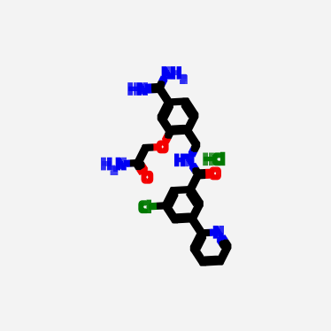 Cl.N=C(N)c1ccc(CNC(=O)c2cc(Cl)cc(-c3ccccn3)c2)c(OCC(N)=O)c1